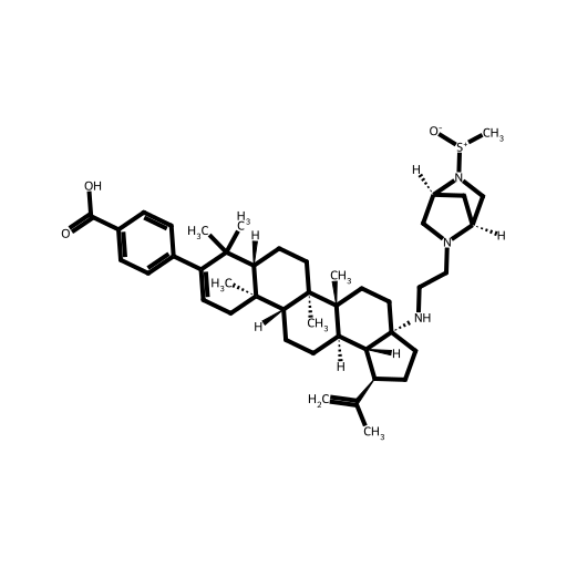 C=C(C)[C@@H]1CC[C@]2(NCCN3C[C@@H]4C[C@H]3CN4[S+](C)[O-])CC[C@]3(C)[C@H](CC[C@@H]4[C@@]5(C)CC=C(c6ccc(C(=O)O)cc6)C(C)(C)[C@@H]5CC[C@]43C)[C@@H]12